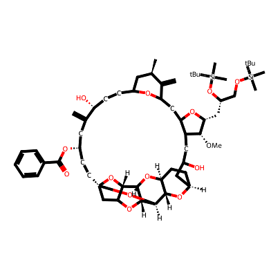 C=C1C2CC3O[C@H](C[C@@H](CO[Si](C)(C)C(C)(C)C)O[Si](C)(C)C(C)(C)C)[C@H](OC)C3CC(O)C[C@H]3CC[C@@H]4O[C@@H]5[C@H]6OC7C[C@](CC[C@H](OC(=O)c8ccccc8)CC(=C)[C@H](O)CCC(C[C@H]1C)O2)(O[C@H]6[C@H]4O3)O[C@@H]75